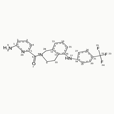 Nc1cccc(C(=O)N2CCc3c(cccc3Nc3ccc(C(F)(F)F)cc3)C2)n1